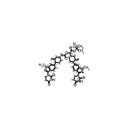 Cn1nc(N2CCC(=O)NC2=O)c2ccc(C3CCN(CC(=O)OC(C(=O)OC(C)(C)C)N4CCC(c5ccc6c(N7CCC(=O)NC7=O)nn(C)c6c5)C(F)C4)CC3F)cc21